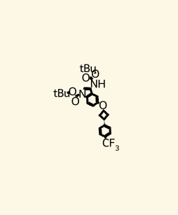 CC(C)(C)OC(=O)Nc1cn(C(=O)OC(C)(C)C)c2ccc(O[C@H]3C[C@@H](c4ccc(C(F)(F)F)cc4)C3)cc12